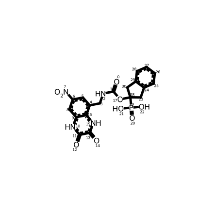 O=C(NCc1cc([N+](=O)[O-])cc2[nH]c(=O)c(=O)[nH]c12)OC1(P(=O)(O)O)Cc2ccccc2C1